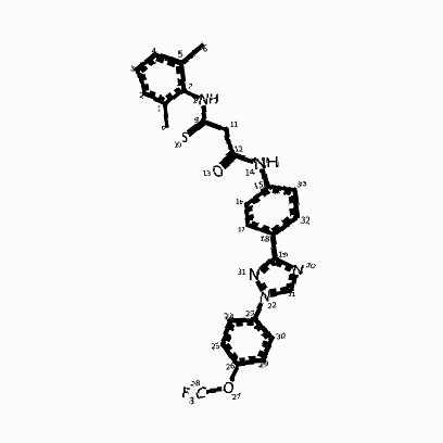 Cc1cccc(C)c1NC(=S)CC(=O)Nc1ccc(-c2ncn(-c3ccc(OC(F)(F)F)cc3)n2)cc1